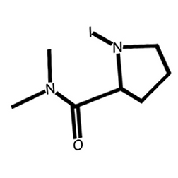 CN(C)C(=O)C1CCCN1I